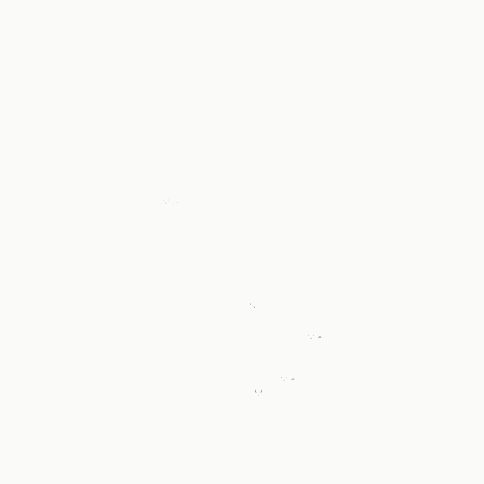 CCOC(=O)N(CC(OC)OC)C(Cc1cccc(OC)c1)c1ccc(OCCCO)c(OC)c1